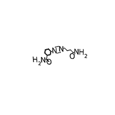 NC(=O)CCCN1CCN(c2cccc(C(N)=O)c2)CC1